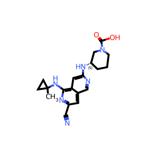 CC1(Nc2nc(C#N)cc3cnc(N[C@H]4CCCN(C(=O)O)C4)cc23)CC1